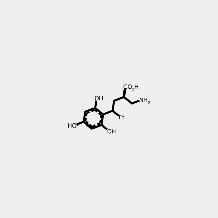 CCC(CC(CN)C(=O)O)c1c(O)cc(O)cc1O